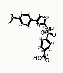 CC(C)c1ccc(-c2csc(NS(=O)(=O)c3ccc(C(=O)O)cc3)n2)cc1